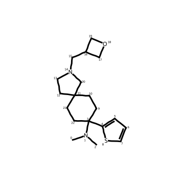 CN(C)C1(c2cccs2)CCC2(CCN(CC3COC3)C2)CC1